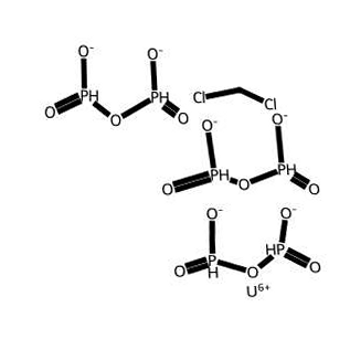 ClCCl.O=[PH]([O-])O[PH](=O)[O-].O=[PH]([O-])O[PH](=O)[O-].O=[PH]([O-])O[PH](=O)[O-].[U+6]